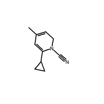 CC1=CCN(C#N)C(C2CC2)=C1